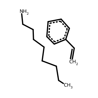 C=Cc1ccccc1.CCCCCCCCN